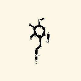 C=O.COc1ccc(CC=C=O)c(C)c1C